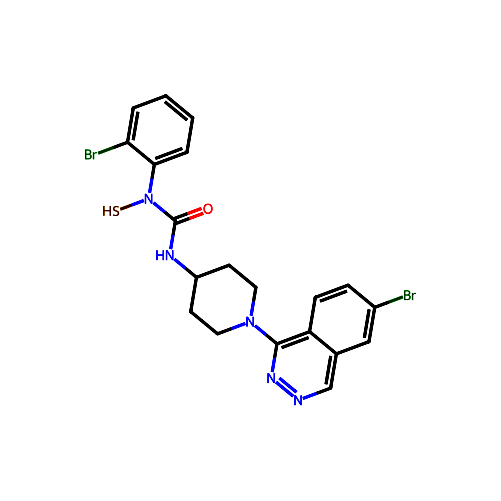 O=C(NC1CCN(c2nncc3cc(Br)ccc23)CC1)N(S)c1ccccc1Br